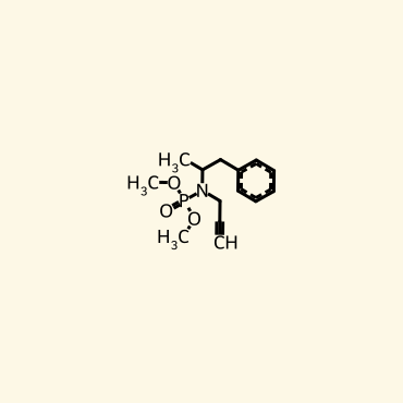 C#CCN(C(C)Cc1ccccc1)P(=O)(OC)OC